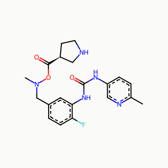 Cc1ccc(NC(=O)Nc2cc(CN(C)OC(=O)[C@H]3CCNC3)ccc2F)cn1